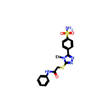 CCn1c(SCC(=O)Nc2ccccc2)nnc1-c1ccc(S(N)(=O)=O)cc1